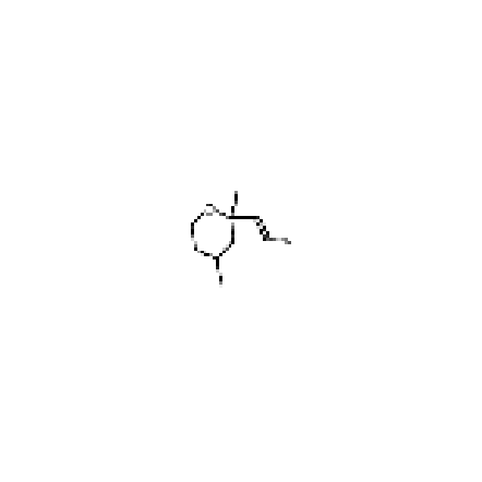 CC=CC1(C)CC(C)CCO1